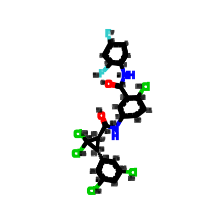 O=C(Nc1ccc(F)cc1F)c1cc(NC(=O)[C@H]2[C@H](c3cc(Cl)cc(Cl)c3)C2(Cl)Cl)ccc1Cl